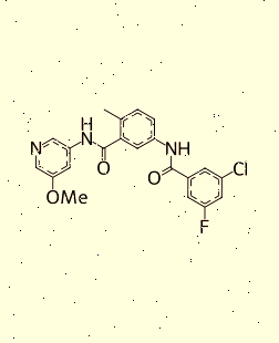 COc1cncc(NC(=O)c2cc(NC(=O)c3cc(F)cc(Cl)c3)ccc2C)c1